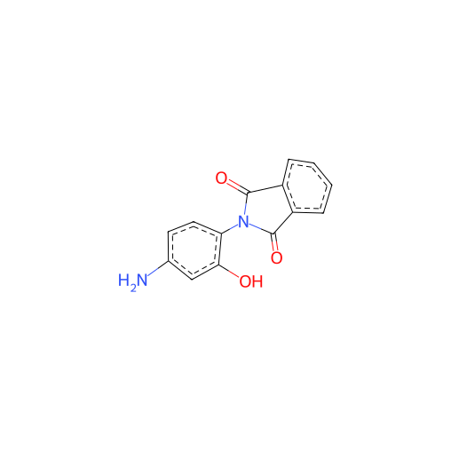 Nc1ccc(N2C(=O)c3ccccc3C2=O)c(O)c1